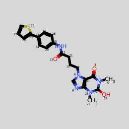 CN1C(=O)c2c(ncn2CCCC(=O)Nc2ccc(-c3cccs3)cc2)N(C)C1O